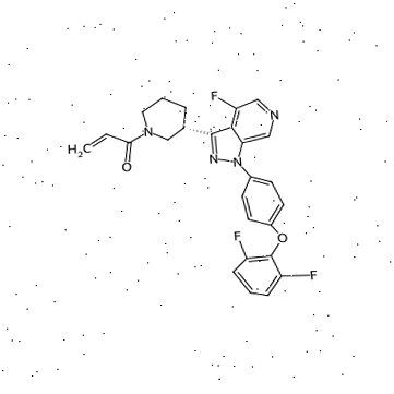 C=CC(=O)N1CCC[C@H](c2nn(-c3ccc(Oc4c(F)cccc4F)cc3)c3cncc(F)c23)C1